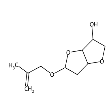 C=C(C)COC1CC2OCC(O)C2O1